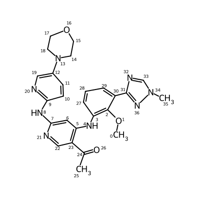 COc1c(Nc2cc(Nc3ccc(N4CCOCC4)cn3)ncc2C(C)=O)cccc1-c1ncn(C)n1